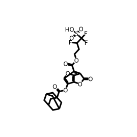 O=C1Oc2c(OC(=O)C34CC5CC(CC(C5)C3)C4)c3oc2c1c3C(=O)OCCC(F)C(F)(F)S(=O)(=O)O